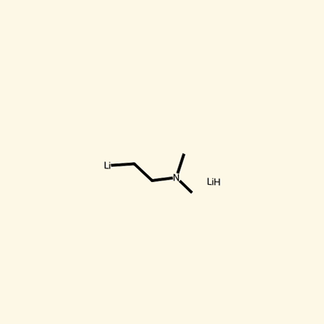 [LiH].[Li][CH2]CN(C)C